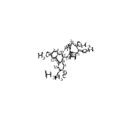 COc1cc2c3c(c4ccc(C)cc4c2cc1C)CN1C[C@H](C)[C@@H](O)C[C@@H]1C3